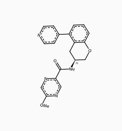 COc1cnc(C(=O)N[C@@H]2COc3cccc(-c4ccncc4)c3C2)cn1